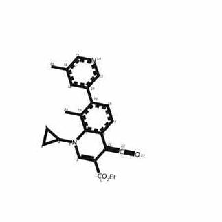 CCOC(=O)C1=CN(C2CC2)c2c(ccc(-c3cncc(C)c3)c2C)C1=C=O